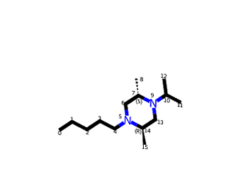 CCCCCN1C[C@H](C)N(C(C)C)C[C@H]1C